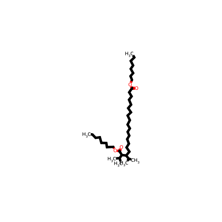 CCCCCCCCOC(=O)CCCCCCCCCCCCCCCCC(C(C)C)C(C(=O)OCCCCCCCC)C(C)C